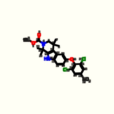 CC(C)(C)OC(=O)N1CC(C)(C)c2c([nH]c3ccc(Oc4c(Cl)cc([N+](=O)[O-])cc4Cl)cc23)C1(C)C